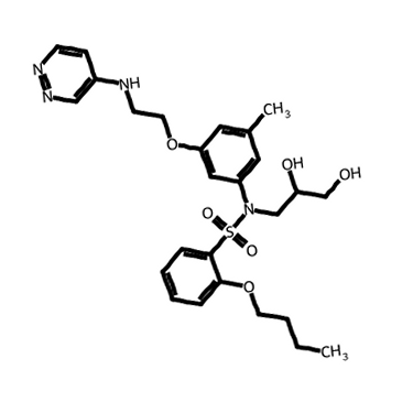 CCCCOc1ccccc1S(=O)(=O)N(CC(O)CO)c1cc(C)cc(OCCNc2ccnnc2)c1